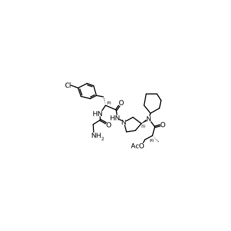 CC(=O)OC[C@@H](C)C(=O)N(C1CCCCC1)[C@H]1CCN(NC(=O)[C@@H](Cc2ccc(Cl)cc2)NC(=O)CN)C1